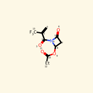 C=C(C(=O)N1C(=O)CC1OC(=O)CC)C(F)(F)F